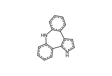 c1ccc2c(c1)Nc1ccccc1-c1[nH]ccc1-2